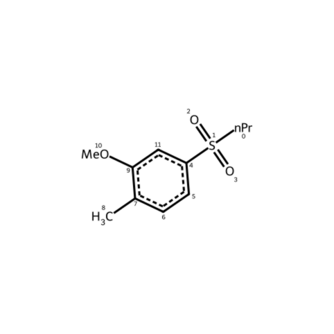 CCCS(=O)(=O)c1ccc(C)c(OC)c1